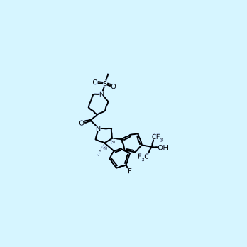 C[C@]1(c2ccc(F)cc2)CN(C(=O)C2CCN(S(C)(=O)=O)CC2)C[C@H]1c1ccc(C(O)(C(F)(F)F)C(F)(F)F)cc1